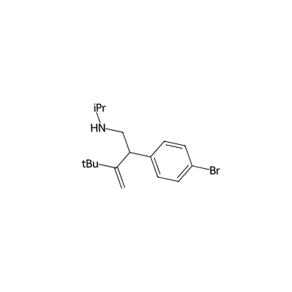 C=C(C(CNC(C)C)c1ccc(Br)cc1)C(C)(C)C